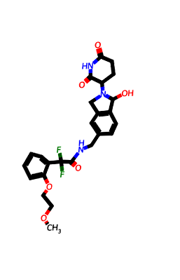 COCCOc1ccccc1C(F)(F)C(=O)NCc1ccc2c(c1)CN(C1CCC(=O)NC1=O)C2O